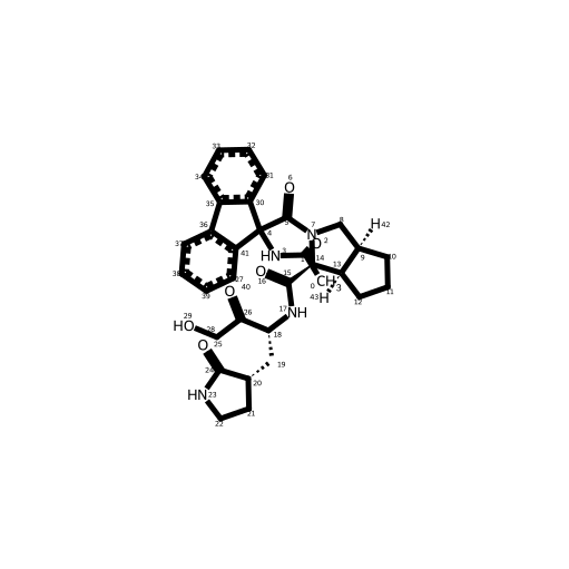 CC(=O)NC1(C(=O)N2C[C@H]3CCC[C@H]3[C@H]2C(=O)N[C@H](C[C@@H]2CCNC2=O)C(=O)CO)c2ccccc2-c2ccccc21